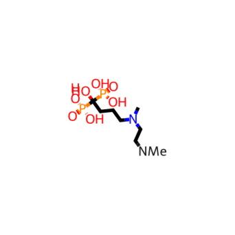 CNCCN(C)CCCC(O)(P(=O)(O)O)P(=O)(O)O